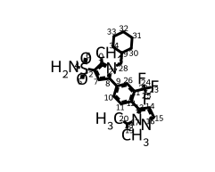 Cc1c(S(N)(=O)=O)cc(-c2ccc(-c3ccnn3C(C)C)c(C(F)(F)F)c2)n1CC1CCCCC1